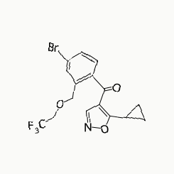 O=C(c1ccc(Br)cc1COCC(F)(F)F)c1cnoc1C1CC1